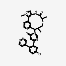 CC1CCC(C)C(n2cnc(-c3cc(Cl)ccc3-c3ccnnc3)cc2=O)c2cc(ccn2)-c2c(cnn2C)NC1=O